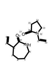 C=CC1CCCCNC1=O.C=CN1CCCC1=O